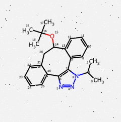 CC(C)n1nnc2c1-c1ccccc1C(OC(C)(C)C)Cc1ccccc1-2